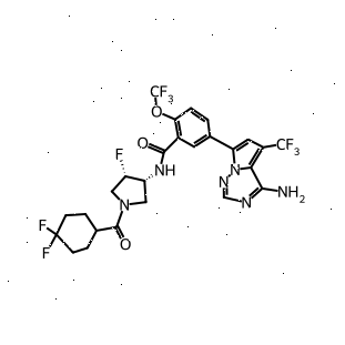 Nc1ncnn2c(-c3ccc(OC(F)(F)F)c(C(=O)N[C@@H]4CN(C(=O)C5CCC(F)(F)CC5)C[C@@H]4F)c3)cc(C(F)(F)F)c12